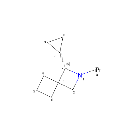 CC(C)N1CC2(CCC2)[C@@H]1C1CC1